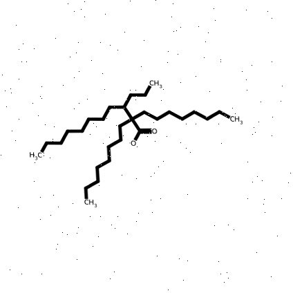 CCCCCCCCC(CCC)C(CCCCCCCC)(CCCCCCCC)C([O])=O